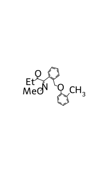 CCC(=O)C(=NOC)c1ccccc1COc1ccccc1C